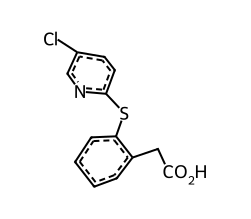 O=C(O)Cc1ccccc1Sc1ccc(Cl)cn1